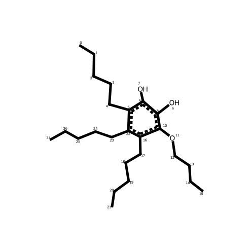 CCCCCc1c(O)c(O)c(OCCCC)c(CCCCC)c1CCCCC